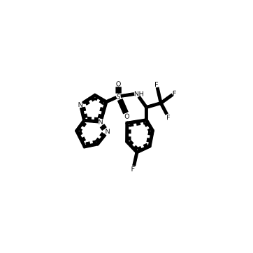 O=S(=O)(NC(c1ccc(F)cc1)C(F)(F)F)c1cnc2cccnn12